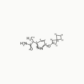 CC(C(N)=O)c1ccc(OC2CC3(CCC3)C2)nn1